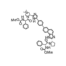 COC(=O)N[C@@H](C(=O)N1C[Si](C)(C)C[C@H]1c1ncc(-c2ccc(-c3ccc4c(ccc5nc([C@@H]6CCCN6C(=O)[C@H](NC(=O)OC)c6ccccc6)[nH]c54)c3)cc2)[nH]1)c1ccccc1